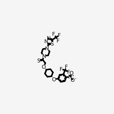 O=[N+]([O-])c1ccc(O[C@H]2CC[C@H](OCC(=S)N3CCN(c4nnc(C(F)(F)F)s4)CC3)CC2)cc1C(F)(F)F